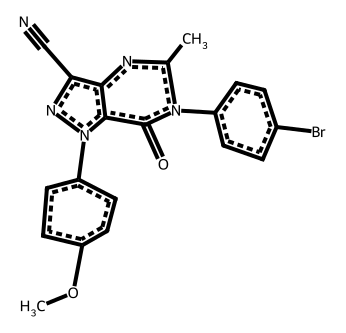 COc1ccc(-n2nc(C#N)c3nc(C)n(-c4ccc(Br)cc4)c(=O)c32)cc1